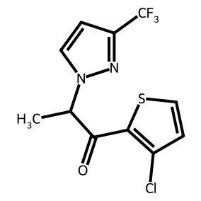 CC(C(=O)c1sccc1Cl)n1ccc(C(F)(F)F)n1